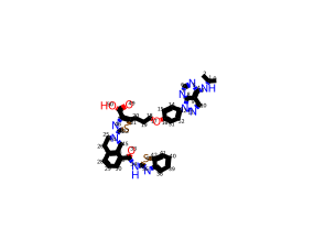 CC(C)Nc1ncnc2c1cnn2-c1ccc(OCCCc2sc(N3CCc4cccc(C(=O)Nc5nc6ccccc6s5)c4C3)nc2C(=O)O)cc1